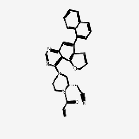 C=CC(=O)N1CCN(c2ncnc3cc(-c4cccc5ccccc45)c4c(c23)OCC=C4)C[C@@H]1CC#N